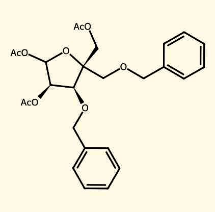 CC(=O)OC[C@]1(COCc2ccccc2)OC(OC(C)=O)[C@H](OC(C)=O)[C@@H]1OCc1ccccc1